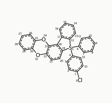 Clc1ccc(S2(c3ccccc3)c3ccccc3-c3c2ccc2c3Oc3ccccc3O2)cc1